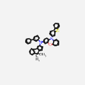 CC1(C)c2ccccc2-c2cc(N(c3cccc(-c4ccccc4)c3)c3ccc4c(c3)Oc3ccccc3N4c3ccc4c(c3)sc3ccccc34)ccc21